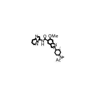 COc1cc2nn([C@@H]3CC[C@@H](N(C)C(C)=O)C[C@H]3C)cc2cc1C(=O)Nc1cnc2cccnn12